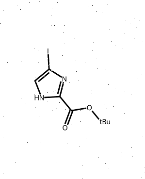 CC(C)(C)OC(=O)c1nc(I)c[nH]1